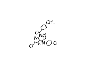 Cc1ccc(C(=O)Nc2ncc(Cl)cc2C(=O)Nc2ccc(Cl)cc2)cc1